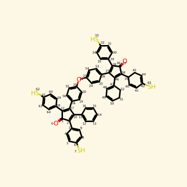 O=C1C(c2ccc(S)cc2)=C(c2ccccc2)C(c2ccc(Oc3ccc(C4=C(c5ccc(S)cc5)C(=O)C(C5C=CC(S)=CC5)=C4C4=CC=CCC4)cc3)cc2)=C1c1ccc(S)cc1